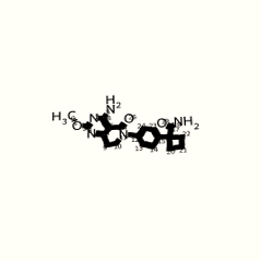 COc1nc(N)c2c(n1)CCN(c1ccc(C3(C(N)=O)CCC3)cc1)C2=O